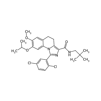 COc1cc2c(cc1OC(C)C)-n1c(-c3cc(Cl)ccc3Cl)nc(C(=O)NCC(C)(C)C)c1CC2